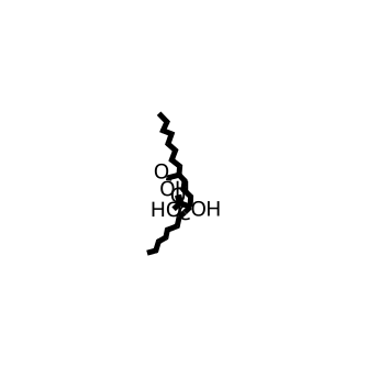 CCCCCCCCC(CCCC(O)(CCCCCCCC)C(=O)O)C(=O)O